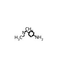 CC/N=C(/C)c1ccc(N)cc1